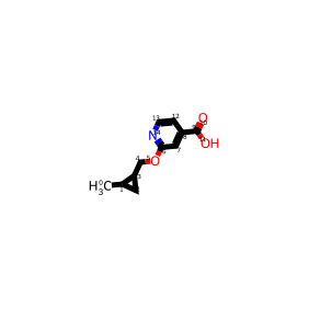 CC1CC1COc1cc(C(=O)O)ccn1